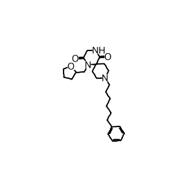 O=C1CNC(=O)C2(CCN(CCCCCCc3ccccc3)CC2)N1CC1CCCO1